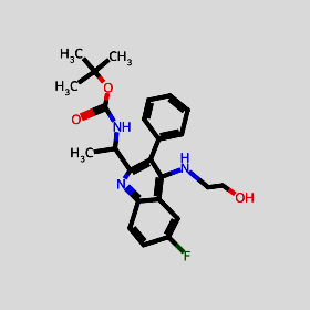 CC(NC(=O)OC(C)(C)C)c1nc2ccc(F)cc2c(NCCO)c1-c1ccccc1